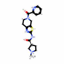 O=C(Nc1nc2c(s1)CN(C(=O)c1ccccn1)CC2)[C@H]1CCN(C(=O)O)C1